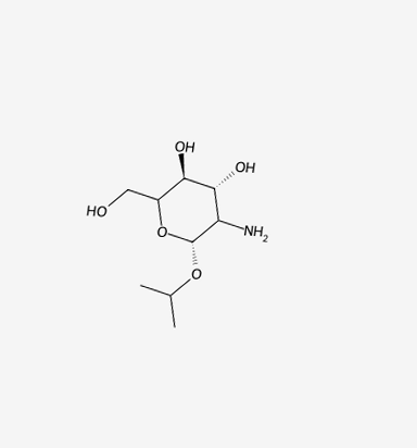 CC(C)O[C@@H]1OC(CO)[C@@H](O)[C@H](O)C1N